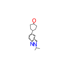 CC(C)n1cc2cc(C3CCC(=O)CC3)ccc2n1